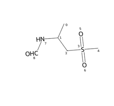 CC(CS(C)(=O)=O)NC=O